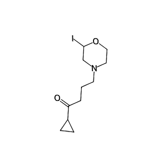 O=C(CCCN1CCOC(I)C1)C1CC1